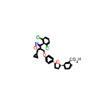 O=C(O)c1cccc([C@H]2CC[C@H](c3ccc(OCc4c(-c5c(Cl)cccc5Cl)noc4C4CC4)cc3)O2)c1